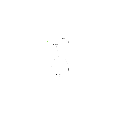 C[SiH](F)C1C=CC=CC1